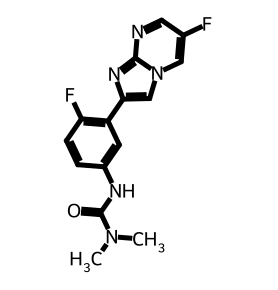 CN(C)C(=O)Nc1ccc(F)c(-c2cn3cc(F)cnc3n2)c1